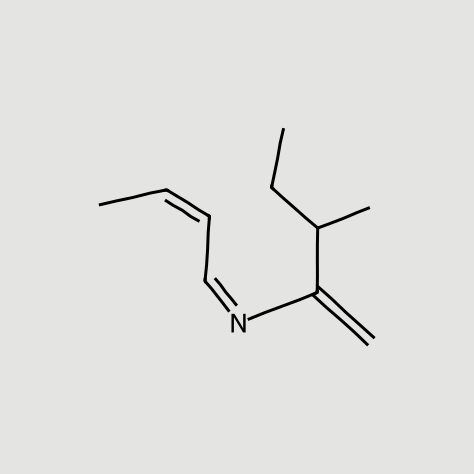 C=C(/N=C\C=C/C)C(C)CC